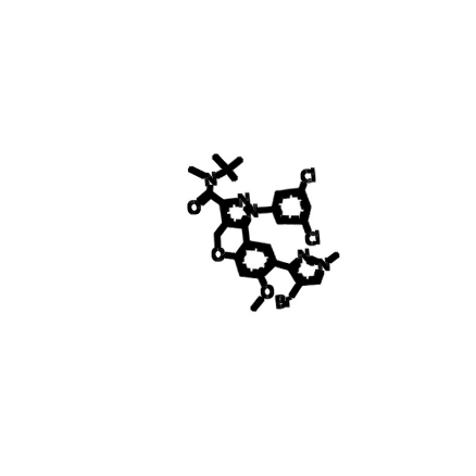 COc1cc2c(cc1-c1nn(C)cc1Br)-c1c(c(C(=O)N(C)C(C)(C)C)nn1-c1cc(Cl)cc(Cl)c1)CO2